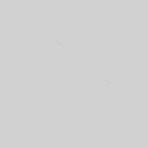 CCOC(=O)c1cn2c3c(cc(S(=O)(=O)CCNC(=O)OC(C)(C)C)cc3c1=O)CCC2C